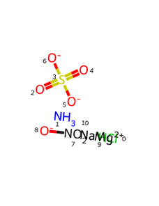 Cl.N.O=S(=O)([O-])[O-].O=[N+]([O-])[O-].[Mg+2].[Na+]